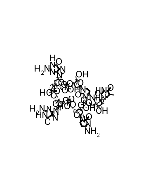 Cc1cn([C@H]2C[C@H](O)[C@@H](COP(=O)(O)O[C@H]3C[C@H](n4ccc(N)nc4=O)O[C@@H]3COP(=O)(O)O[C@H]3C[C@H](n4cnc5c(=O)[nH]c(N)nc54)O[C@@H]3COP(=O)(O)O[C@H]3C[C@H](n4cnc5c(=O)[nH]c(N)nc54)O[C@@H]3COP(=O)(O)O[C@H]3C[C@H](n4ccc(N)nc4=O)O[C@@H]3CO)O2)c(=O)[nH]c1=O